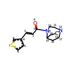 O=C(C=Cc1ccsc1)N1CCN2CCC1CC2